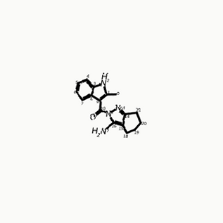 Cc1[nH]c2ccccc2c1C(=O)n1nc2c(c1N)CCCC2